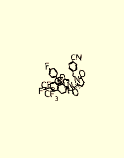 N#Cc1ccc(CN2C(=O)CC[C@H]2C(=O)N2CC[C@@]3(S(=O)(=O)c4ccc(F)cc4)c4ccc(C(F)(C(F)(F)F)C(F)(F)F)cc4CC[C@@H]23)cc1